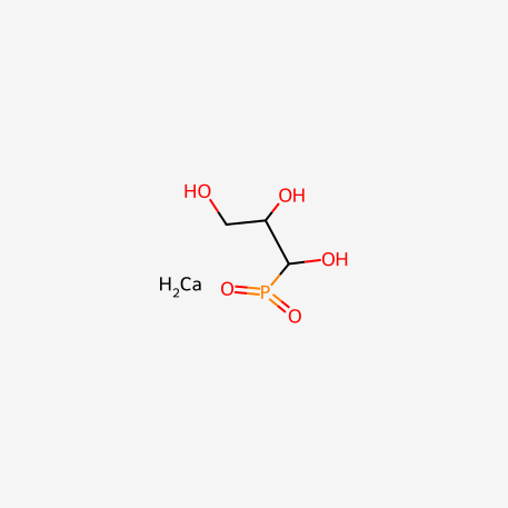 O=P(=O)C(O)C(O)CO.[CaH2]